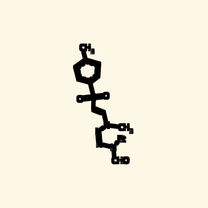 CCN(C=O)/N=N\N(C)/C=C/S(=O)(=O)c1ccc(C)cc1